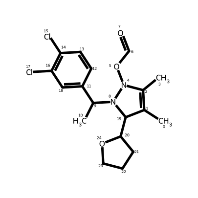 CC1=C(C)N(OC=O)N(C(C)c2ccc(Cl)c(Cl)c2)C1C1CCCO1